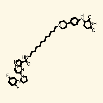 O=C1CCC(Nc2ccc(C3CCN(CCCCCCCCCCCCNC(=O)c4cnn5ccc(N6CCC[C@@H]6c6cc(F)ccc6F)nc45)CC3)cc2)C(=O)N1